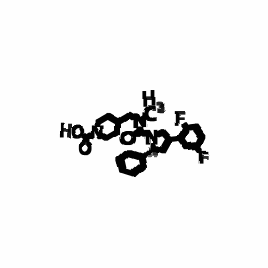 CN(CC1CCN(C(=O)O)CC1)C(=O)N1CC(c2cc(F)ccc2F)=C[C@H]1c1ccccc1